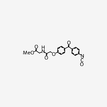 COC(=O)CNC(=O)COc1ccc(C(=O)c2ccc(N=C=O)cc2)cc1